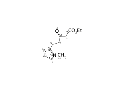 CCOC(=O)CC(=O)CCc1nccn1C